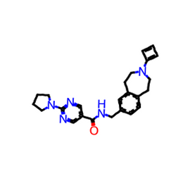 O=C(NCc1ccc2c(c1)CCN(C1=CC=C1)CC2)c1cnc(N2CCCC2)nc1